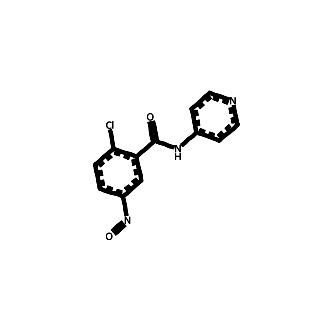 O=Nc1ccc(Cl)c(C(=O)Nc2ccncc2)c1